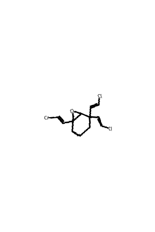 ClC=CC1(C=CCl)CCCC2(C=CCl)OC12